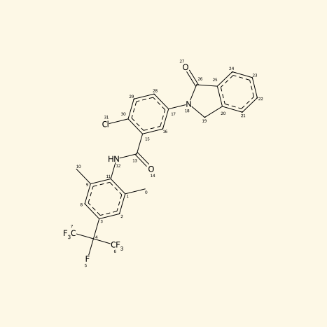 Cc1cc(C(F)(C(F)(F)F)C(F)(F)F)cc(C)c1NC(=O)c1cc(N2Cc3ccccc3C2=O)ccc1Cl